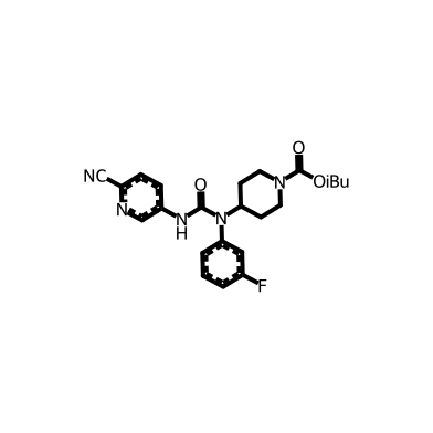 CC(C)COC(=O)N1CCC(N(C(=O)Nc2ccc(C#N)nc2)c2cccc(F)c2)CC1